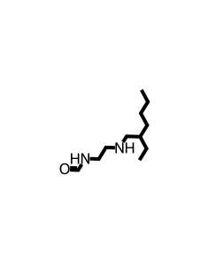 CCCCC(CC)CNCCNC=O